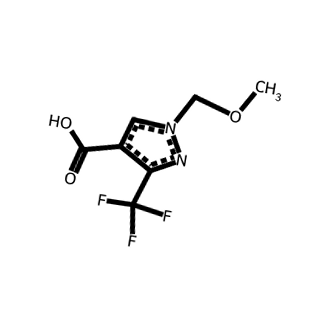 COCn1cc(C(=O)O)c(C(F)(F)F)n1